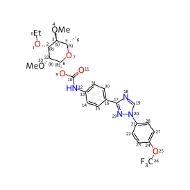 CCO[C@@H]1[C@@H](OC)[C@H](C)O[C@H](OC(=O)Nc2ccc(-c3ncn(-c4ccc(OC(F)(F)F)cc4)n3)cc2)[C@@H]1OC